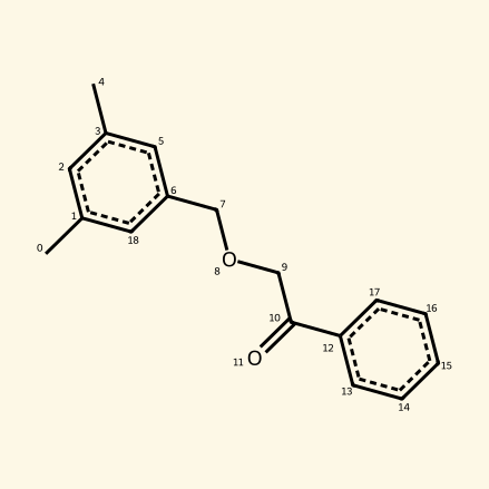 Cc1cc(C)cc(COCC(=O)c2ccccc2)c1